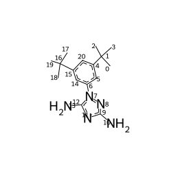 CC(C)(C)c1cc(-n2nc(N)nc2N)cc(C(C)(C)C)c1